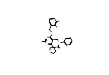 CCN1CCC2(C1)C(=O)N(c1ccccc1)Cc1c(N[C@H](C)c3cccc(C(F)(F)F)c3F)nc(C)nc12